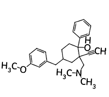 C#CC1(CN(C)C)CC(Cc2cccc(OC)c2)CCC1(O)c1ccccc1